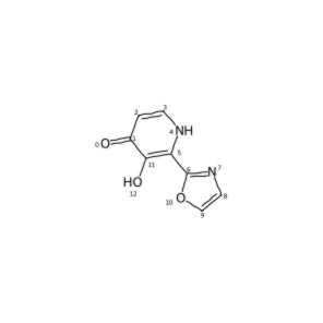 O=c1cc[nH]c(-c2ncco2)c1O